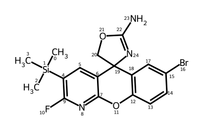 C[Si](C)(C)c1cc2c(nc1F)Oc1ccc(Br)cc1C21COC(N)=N1